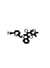 Cc1cc(C(=O)c2cn(Cc3cccc(C#N)n3)c3ccccc3c2=O)cnc1C